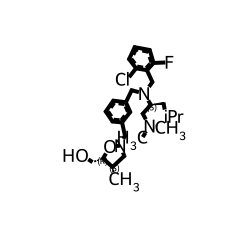 CC(C)C[C@@H](CN(C)C)N(Cc1cccc(CN2C[C@H](C)[C@H](CO)O2)c1)Cc1c(F)cccc1Cl